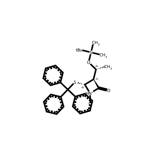 C[C@@H](O[Si](C)(C)C(C)(C)C)[C@H]1C(=O)[NH+]([O-])[C@@H]1SC(c1ccccc1)(c1ccccc1)c1ccccc1